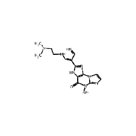 CCCn1c(=O)c2[nH]c(/C(C=N)=C/NCCN(C)C)nc2n2ccnc12